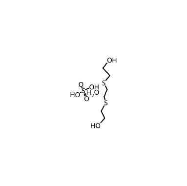 O.O=S(=O)(O)O.OCCSCCSCCO